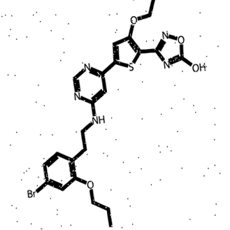 CCCOc1cc(Br)ccc1CCNc1cc(-c2cc(OCC)c(-c3noc(O)n3)s2)ncn1